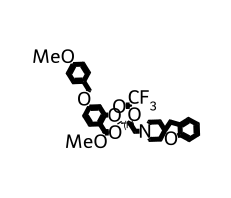 COC(=O)c1ccc(OCc2ccc(OC)cc2)cc1OC[C@@H](CN1CCC2(CC1)Cc1ccccc1O2)OC(=O)C(F)(F)F